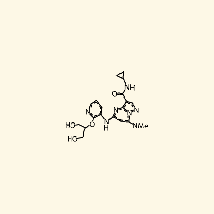 CNc1cc(Nc2cccnc2OC(CO)CO)nc2c(C(=O)NC3CC3)cnn12